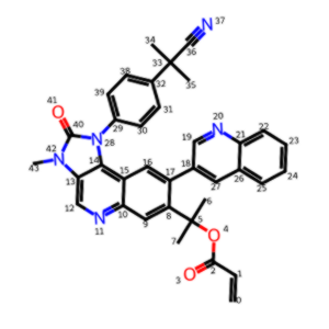 C=CC(=O)OC(C)(C)c1cc2ncc3c(c2cc1-c1cnc2ccccc2c1)n(-c1ccc(C(C)(C)C#N)cc1)c(=O)n3C